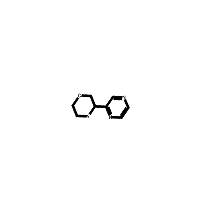 c1cnc(C2COCCS2)cn1